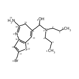 CCCN(CCC)C(O)C1=Cc2sc(Br)cc2N=C(N)C1